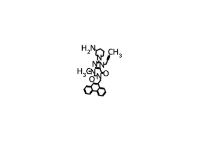 CC#CCn1c(N2CCC[C@@H](N)C2)nc2c1c(=O)n(Cc1cc3ccccc3c3ccccc13)c(=O)n2C